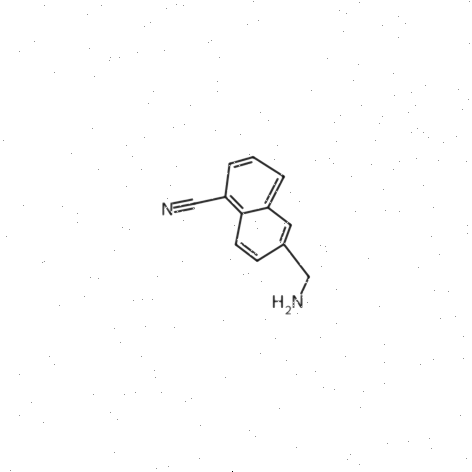 N#Cc1cccc2cc(CN)ccc12